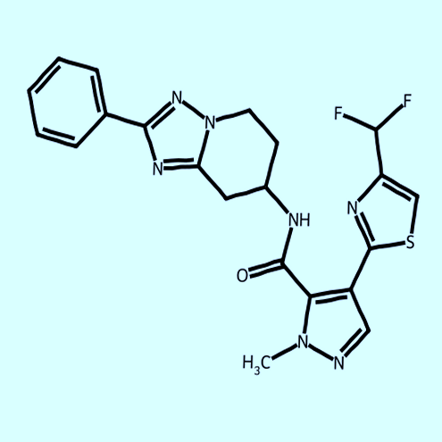 Cn1ncc(-c2nc(C(F)F)cs2)c1C(=O)NC1CCn2nc(-c3ccccc3)nc2C1